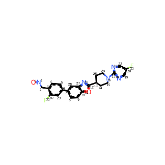 O=NCc1ccc(-c2ccc3oc(C4CCN(c5ncc(F)cn5)CC4)nc3c2)cc1F